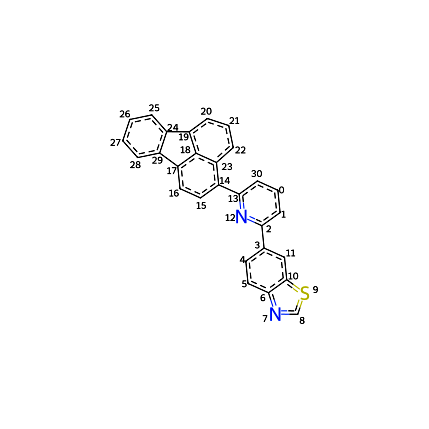 c1cc(-c2ccc3ncsc3c2)nc(-c2ccc3c4c(cccc24)-c2ccccc2-3)c1